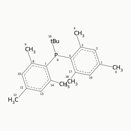 Cc1cc(C)c(P(c2c(C)cc(C)cc2C)C(C)(C)C)c(C)c1